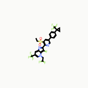 CCS(=O)(=O)c1cc(-c2ccc(C3(C(F)(F)F)CC3)cc2)cnc1-c1nc2cc(C(F)(F)F)cn(CC(F)F)c-2c1F